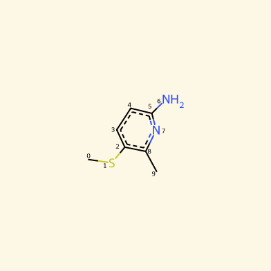 CSc1ccc(N)nc1C